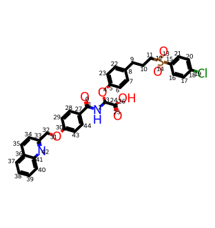 O=C(NC(Oc1ccc(CCCS(=O)(=O)c2ccc(Cl)cc2)cc1)C(=O)O)c1ccc(OCc2ccc3ccccc3n2)cc1